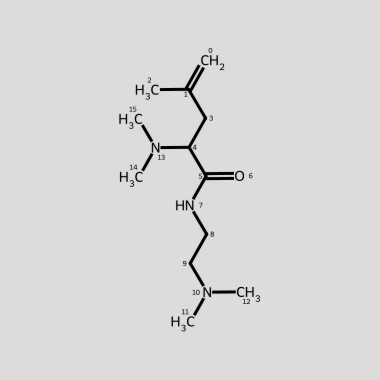 C=C(C)CC(C(=O)NCCN(C)C)N(C)C